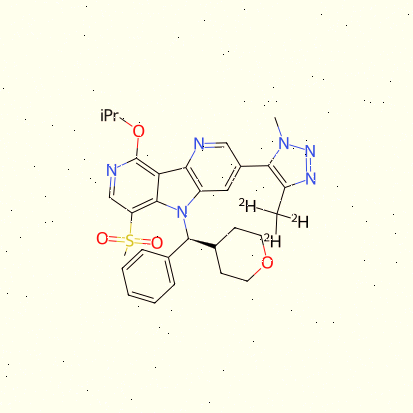 [2H]C([2H])([2H])c1nnn(C)c1-c1cnc2c3c(OC(C)C)ncc(S(C)(=O)=O)c3n([C@H](c3ccccc3)C3CCOCC3)c2c1